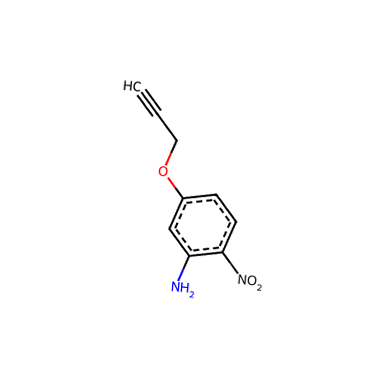 C#CCOc1ccc([N+](=O)[O-])c(N)c1